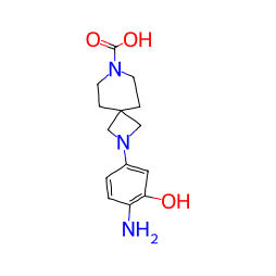 Nc1ccc(N2CC3(CCN(C(=O)O)CC3)C2)cc1O